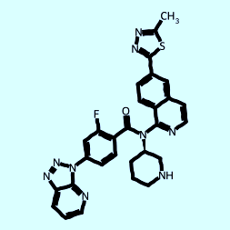 Cc1nnc(-c2ccc3c(N(C(=O)c4ccc(-n5nnc6cccnc65)cc4F)[C@@H]4CCCNC4)nccc3c2)s1